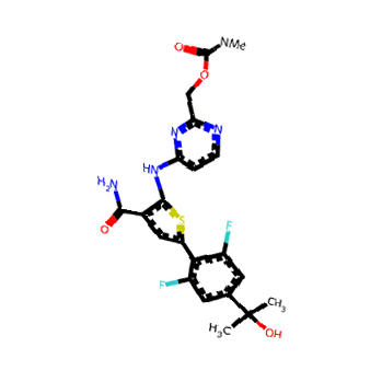 CNC(=O)OCc1nccc(Nc2sc(-c3c(F)cc(C(C)(C)O)cc3F)cc2C(N)=O)n1